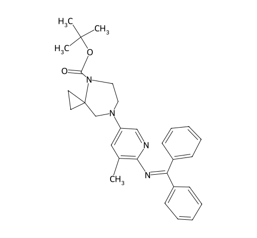 Cc1cc(N2CCN(C(=O)OC(C)(C)C)C3(CC3)C2)cnc1N=C(c1ccccc1)c1ccccc1